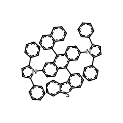 c1ccc(-c2ccc(-c3ccccc3)n2-c2ccc3c(-c4cccc5sc6ccccc6c45)c4cc(-n5c(-c6ccccc6)ccc5-c5ccccc5)ccc4c(-c4cccc5ccccc45)c3c2)cc1